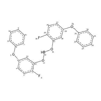 Fc1ccc(Oc2ccccc2)cc1OBOc1cc(Oc2ccccc2)ccc1F